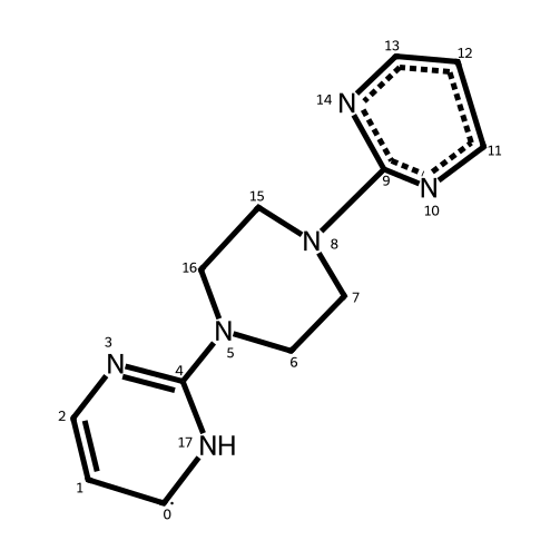 [CH]1C=CN=C(N2CCN(c3ncccn3)CC2)N1